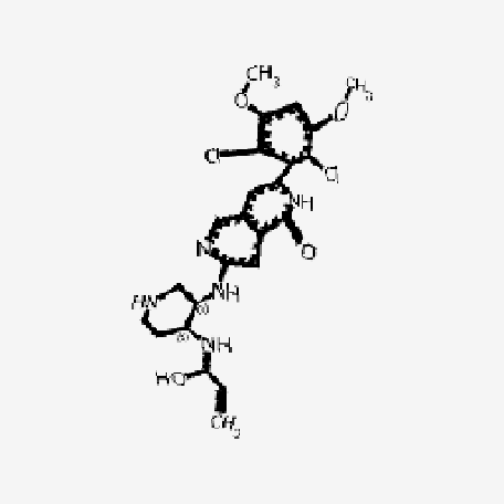 C=CC(O)N[C@H]1CCNC[C@H]1Nc1cc2c(=O)[nH]c(-c3c(Cl)c(OC)cc(OC)c3Cl)cc2cn1